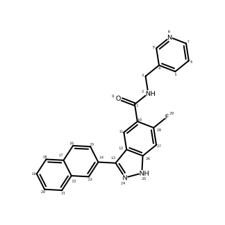 O=C(NCc1cccnc1)c1cc2c(-c3ccc4ccccc4c3)n[nH]c2cc1F